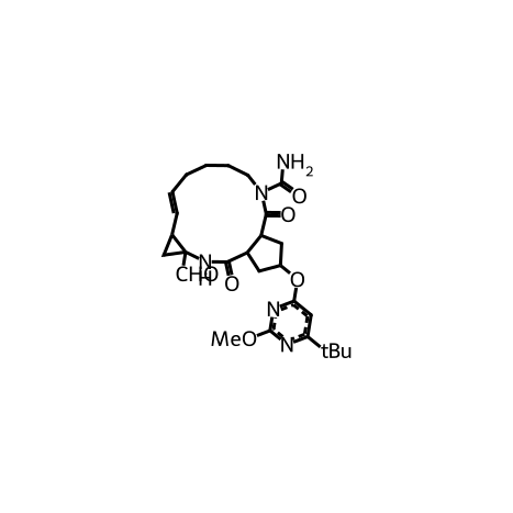 COc1nc(OC2CC3C(=O)NC4([C]=O)CC4/C=C/CCCCN(C(N)=O)C(=O)C3C2)cc(C(C)(C)C)n1